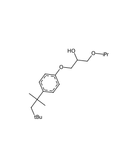 CC(C)OCC(O)COc1ccc(C(C)(C)CC(C)(C)C)cc1